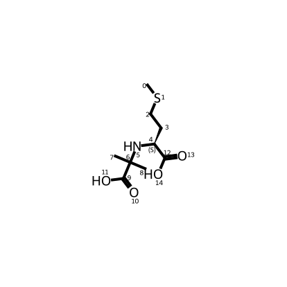 CSCC[C@H](NC(C)(C)C(=O)O)C(=O)O